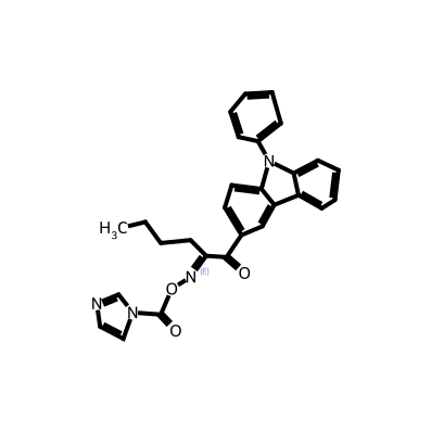 CCCC/C(=N\OC(=O)n1ccnc1)C(=O)c1ccc2c(c1)c1ccccc1n2-c1ccccc1